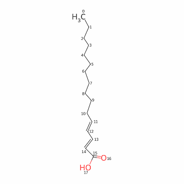 CCCCCCCCCCC/C=C/C=C/C(=O)O